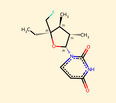 CC[C@@]1(CF)O[C@@H](n2ccc(=O)[nH]c2=O)[C@@H](C)[C@@H]1C